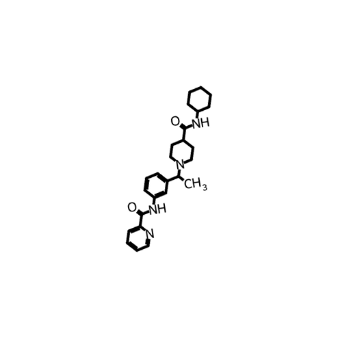 CC(c1cccc(NC(=O)c2ccccn2)c1)N1CCC(C(=O)NC2CCCCC2)CC1